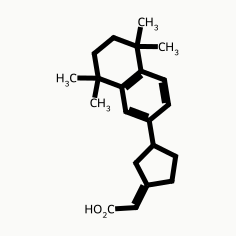 CC1(C)CCC(C)(C)c2cc(C3CCC(=CC(=O)O)C3)ccc21